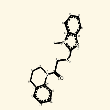 Cn1c(SCC(=O)N2CCCc3ccccc32)nc2ccccc21